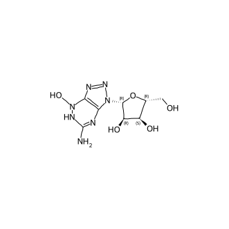 NC1=Nc2c(nnn2[C@@H]2O[C@H](CO)[C@@H](O)[C@H]2O)N(O)N1